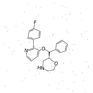 Fc1ccc(-c2ncccc2OC(c2ccccc2)[C@@H]2CNCCO2)cc1